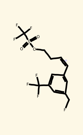 O=S(=O)(OCC/C=C\c1cc(CF)cc(C(F)(F)F)c1)C(F)(F)F